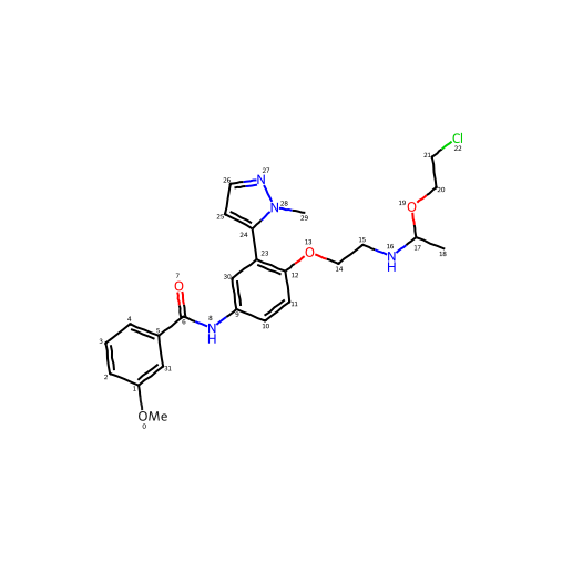 COc1cccc(C(=O)Nc2ccc(OCCNC(C)OCCCl)c(-c3ccnn3C)c2)c1